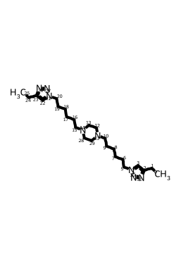 CCc1cn(CCCCCCN2CCN(CCCCCCn3cc(CC)nn3)CC2)nn1